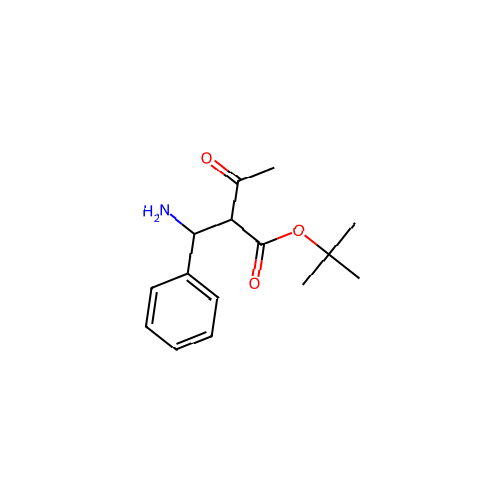 CC(=O)C(C(=O)OC(C)(C)C)C(N)c1ccccc1